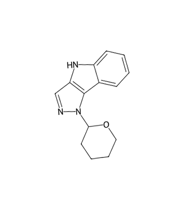 c1ccc2c(c1)[nH]c1cnn(C3CCCCO3)c12